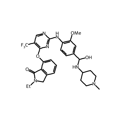 CCN1Cc2cccc(Oc3nc(Nc4ccc(C(O)NC5CCN(C)CC5)cc4OC)ncc3C(F)(F)F)c2C1=O